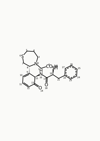 O=C(O)CN1CCCSC[C@H]1C1=CC=CC(=O)[C@@H]1NC(=O)[C@@H](S)Cc1ccccc1